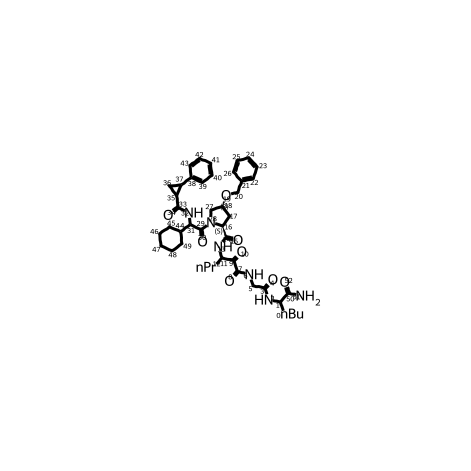 CCCCC(NC(=O)CNC(=O)C(=O)C(CCC)NC(=O)[C@@H]1C[C@@H](OCc2ccccc2)CN1C(=O)C(NC(=O)C1CC1c1ccccc1)C1CCCCC1)C(N)=O